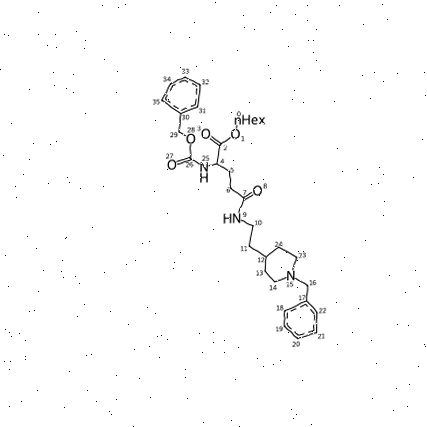 CCCCCCOC(=O)C(CCC(=O)NCCC1CCN(Cc2ccccc2)CC1)NC(=O)OCc1ccccc1